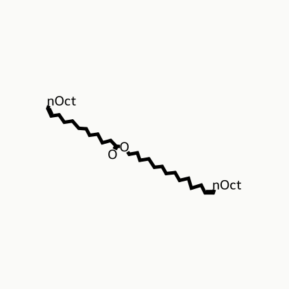 CCCCCCCC/C=C\CCCCCCCCCCCCOC(=O)CCCCCCCCC/C=C\CCCCCCCC